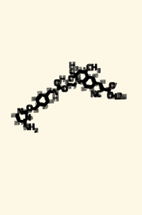 CC1=CC(C)(C)N(CCOC(=O)NCc2ccc(COc3nccc(N)n3)cc2)c2ccc(/C=C(\C#N)C(=O)OC(C)(C)C)cc21